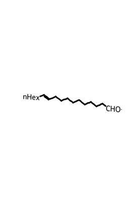 CCCCCCC=CCCCCCCCCC[C]=O